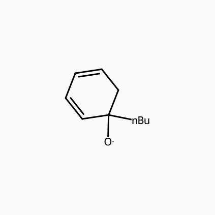 CCCCC1([O])C=CC=CC1